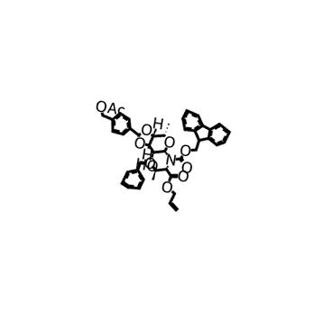 C=CCOC(=O)[C@H]([C@@H](C)O)N(C(=O)OCC1c2ccccc2-c2ccccc21)[C@@H]1O[C@@H](C)[C@H]2OC(c3ccc(COC(C)=O)cc3)O[C@H]2[C@@H]1OCc1ccccc1